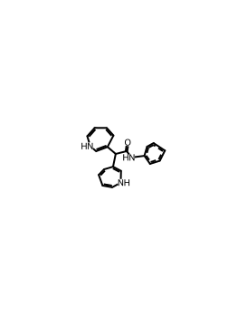 O=C(Nc1ccccc1)C(C1=CNC=CC=C1)C1=CNC=CC=C1